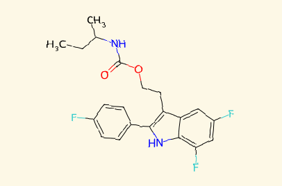 CCC(C)NC(=O)OCCc1c(-c2ccc(F)cc2)[nH]c2c(F)cc(F)cc12